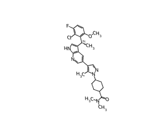 COc1ccc(F)c(Cl)c1[C@@H](C)c1c[nH]c2ncc(-c3cnn(C4CCC(C(=O)N(C)C)CC4)c3C)cc12